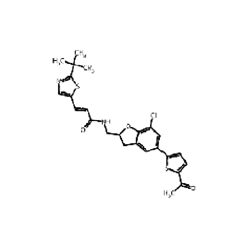 CC(=O)c1ccc(-c2cc(Cl)c3c(c2)CC(CNC(=O)C=Cc2cnc(C(C)(C)C)s2)O3)s1